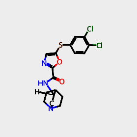 O=C(N[C@H]1CN2CCC1CC2)c1ncc(Sc2ccc(Cl)c(Cl)c2)o1